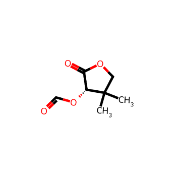 CC1(C)COC(=O)[C@H]1OC=O